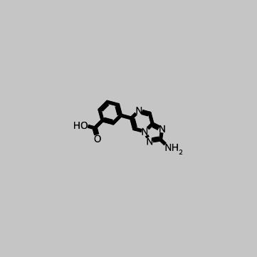 Nc1nc2cnc(-c3cccc(C(=O)O)c3)cn2n1